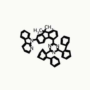 CC1(C)c2cc(-n3c4ccccc4c4cccnc43)ccc2-c2c(-c3nc(-c4ccccc4-c4ccccc4)nc(-c4ccccc4-c4ccccc4)n3)cccc21